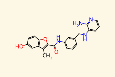 Cc1c(C(=O)Nc2cccc(CNc3cccnc3N)c2)oc2ccc(O)cc12